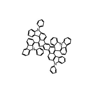 c1ccc(-n2c3ccccc3c3c4c(-c5cccc6c7ccccc7n(-c7ccccc7)c56)cc5cc6c(cc(-c7cccc8c9ccccc9n(-c9ccccc9)c78)c7c6ccc6c7c7ccccc7n6-c6ccccc6)cc5c4ccc32)cc1